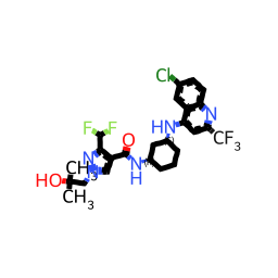 CC(C)(O)Cn1cc(C(=O)N[C@@H]2CCC[C@H](Nc3cc(C(F)(F)F)nc4ccc(Cl)cc34)C2)c(C(F)F)n1